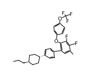 CCC[C@H]1CC[C@H](c2ccc(-c3cc(C)c(F)c(F)c3Oc3ccc(OC(F)(F)F)cc3)cc2)CC1